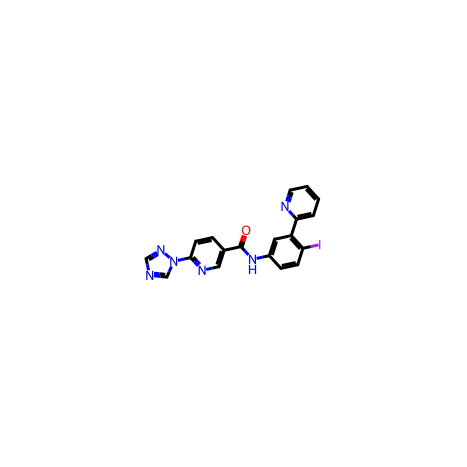 O=C(Nc1ccc(I)c(-c2ccccn2)c1)c1ccc(-n2cncn2)nc1